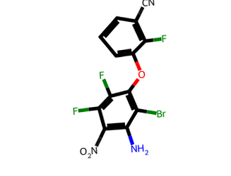 N#Cc1cccc(Oc2c(F)c(F)c([N+](=O)[O-])c(N)c2Br)c1F